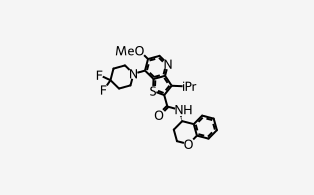 COc1cnc2c(C(C)C)c(C(=O)N[C@H]3CCOc4ccccc43)sc2c1N1CCC(F)(F)CC1